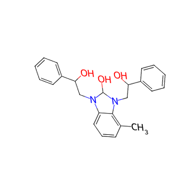 Cc1cccc2c1N(CC(O)c1ccccc1)C(O)N2CC(O)c1ccccc1